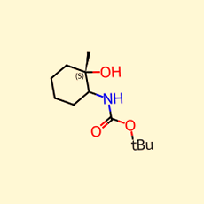 CC(C)(C)OC(=O)NC1CCCC[C@]1(C)O